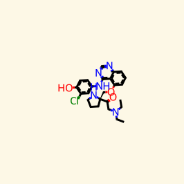 CCN(CC)CC(=O)[C@]1(COc2cccc3ncnc(Nc4ccc(O)c(Cl)c4)c23)CCCN1